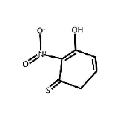 O=[N+]([O-])C1=C(O)C=CCC1=S